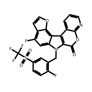 O=c1oc2ncccc2c2c3c4occc4c(F)cc3n(Cc3cc(S(=O)(=O)C(F)(F)F)ccc3F)c12